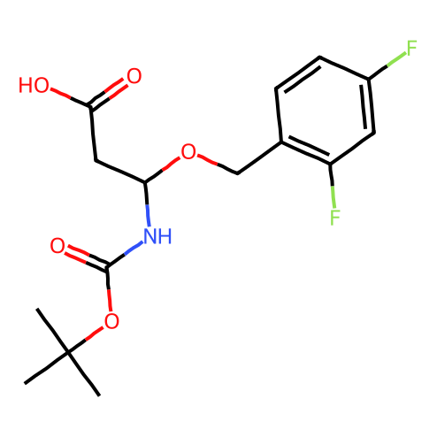 CC(C)(C)OC(=O)NC(CC(=O)O)OCc1ccc(F)cc1F